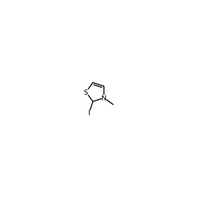 CN1C=CSC1I